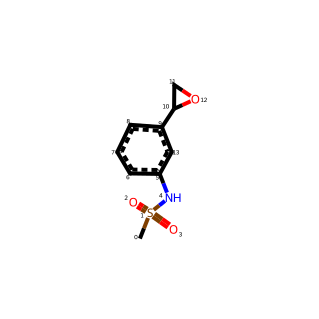 CS(=O)(=O)Nc1cccc(C2CO2)c1